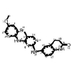 COc1ccc(Nc2nc(Nc3ccc4c(c3)CCC(=O)N4)ncc2Br)nc1